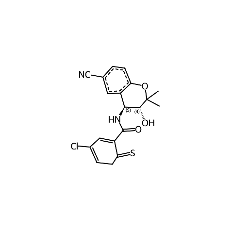 CC1(C)Oc2ccc(C#N)cc2[C@H](NC(=O)C2=CC(Cl)=CCC2=S)[C@H]1O